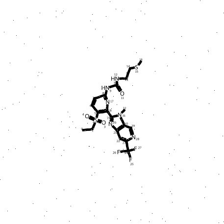 CCS(=O)(=O)c1ccc(NC(=O)NCCSC)nc1-c1nc2cc(C(F)(F)F)ncc2n1C